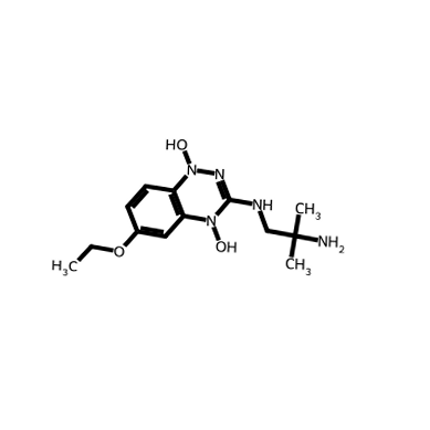 CCOc1ccc2c(c1)N(O)C(NCC(C)(C)N)=NN2O